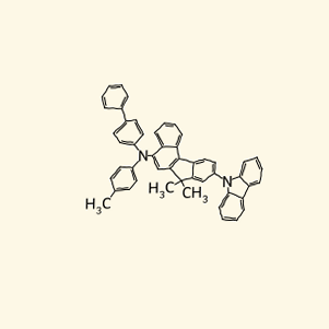 Cc1ccc(N(c2ccc(-c3ccccc3)cc2)c2cc3c(c4ccccc24)-c2ccc(-n4c5ccccc5c5ccccc54)cc2C3(C)C)cc1